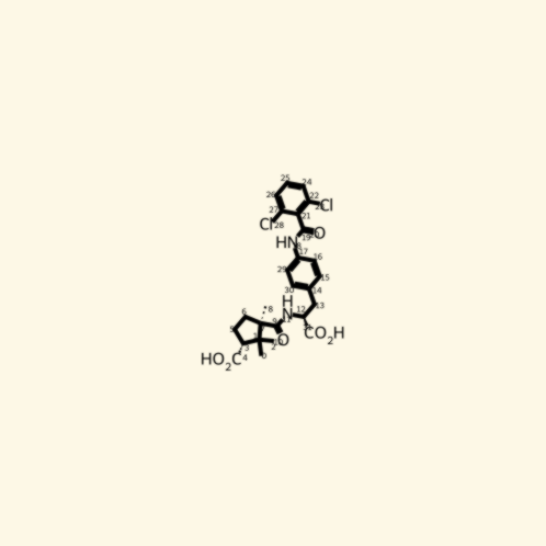 CC1(C)[C@H](C(=O)O)CC[C@@]1(C)C(=O)N[C@@H](Cc1ccc(NC(=O)c2c(Cl)cccc2Cl)cc1)C(=O)O